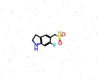 O=[SH](=O)Cc1cc2c(cc1F)NCC2